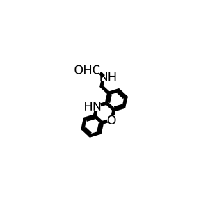 O=CNCc1cccc2c1Nc1ccccc1O2